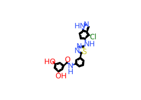 O=C(Nc1cccc(-c2nnc(Nc3ccc4[nH]ncc4c3Cl)s2)c1)c1cc(O)cc(O)c1